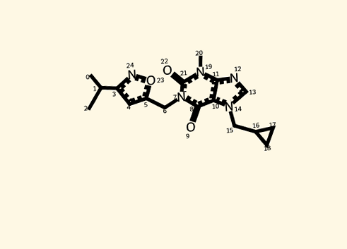 CC(C)c1cc(Cn2c(=O)c3c(ncn3CC3CC3)n(C)c2=O)on1